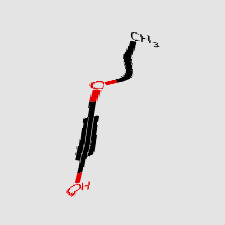 CCOC#CO